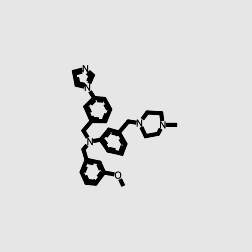 COc1cccc(CN(Cc2cccc(-n3ccnc3)c2)c2cccc(CN3CCN(C)CC3)c2)c1